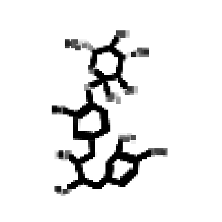 COc1ccc(CC(C)C(C)Cc2ccc(O[C@]3(C)O[C@H](C(=O)O)[C@@H](O)[C@H](O)[C@H]3O)c(O)c2)cc1OC